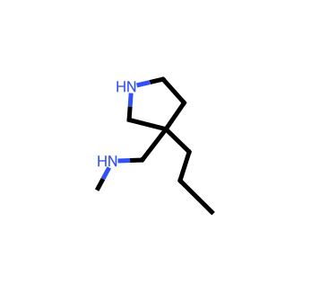 CCCC1(CNC)CCNC1